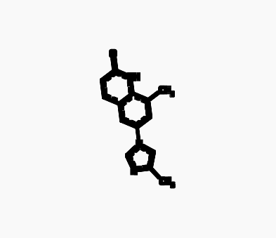 Cc1cn(-c2cc(C)c3[nH]c(=O)ccc3c2)cn1